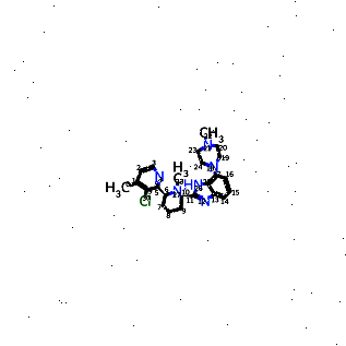 Cc1ccnc([C@@H]2CCC[C@H](c3nc4cccc(N5CCN(C)CC5)c4[nH]3)N2C)c1Cl